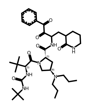 CCCN(CCC)[C@@H]1C[C@@H](C(=O)NC(CC2CCCNC2=O)C(=O)C(=O)c2ccccc2)N(C(=O)[C@@H](NC(=O)NC(C)(C)C)C(C)(C)C)C1